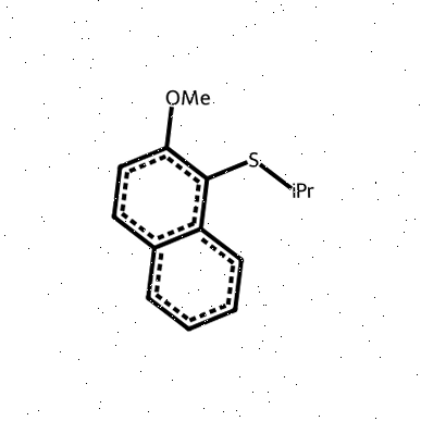 COc1ccc2ccccc2c1SC(C)C